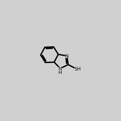 SC1=NC2C=CC=CC2N1